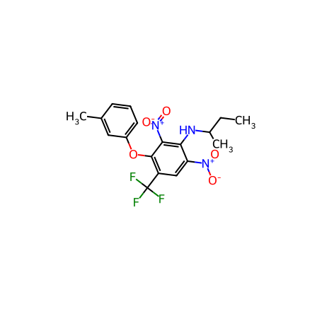 CCC(C)Nc1c([N+](=O)[O-])cc(C(F)(F)F)c(Oc2cccc(C)c2)c1[N+](=O)[O-]